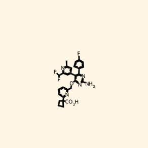 Cc1cc(-c2c(OCc3cccc(C4(C(=O)O)CCC4)n3)nc(N)nc2-c2ccc(F)cc2)cc(C(F)F)n1